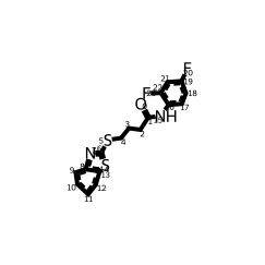 O=C(CCCSc1nc2ccccc2s1)Nc1ccc(F)cc1F